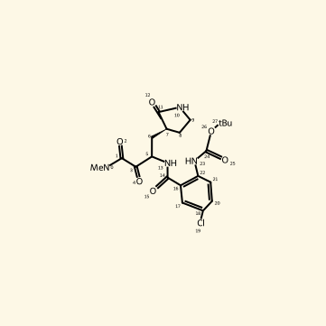 CNC(=O)C(=O)C(C[C@@H]1CCNC1=O)NC(=O)c1cc(Cl)ccc1NC(=O)OC(C)(C)C